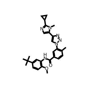 COc1ccc(C(C)(C)C)cc1NC(=O)c1ccc(C)c(-n2cc(-c3cnc(C4CC4)n3C)nn2)c1